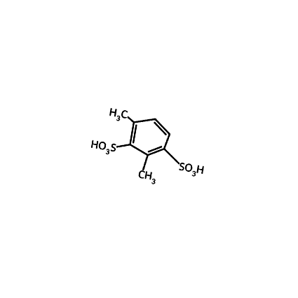 Cc1ccc(S(=O)(=O)O)c(C)c1S(=O)(=O)O